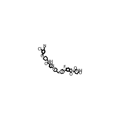 N#Cc1ccc(O[C@H]2CC[C@H](NC(=O)c3ccc(N4CCC(CN5CCN(c6cc7c(cc6F)CN(C6CCC(=O)NC6=O)C7=O)CC5)CC4)nn3)CC2)cc1Cl